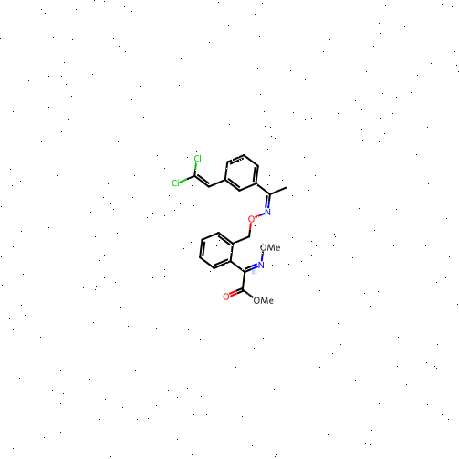 CO/N=C(/C(=O)OC)c1ccccc1CON=C(C)c1cccc(C=C(Cl)Cl)c1